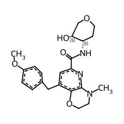 COc1ccc(Cc2cc(C(=O)N[C@H]3CCOC[C@H]3O)nc3c2OCCN3C)cc1